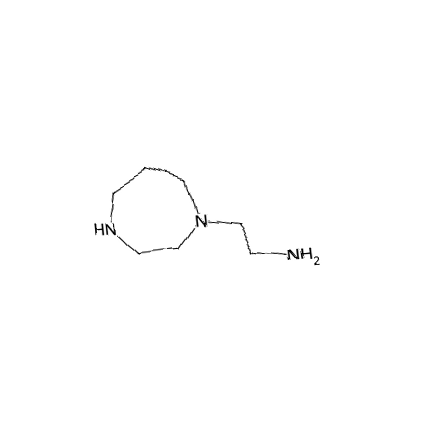 NCCN1CCCNCC1